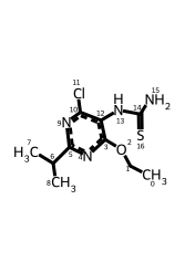 CCOc1nc(C(C)C)nc(Cl)c1NC(N)=S